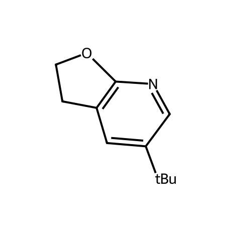 CC(C)(C)c1cnc2c(c1)CCO2